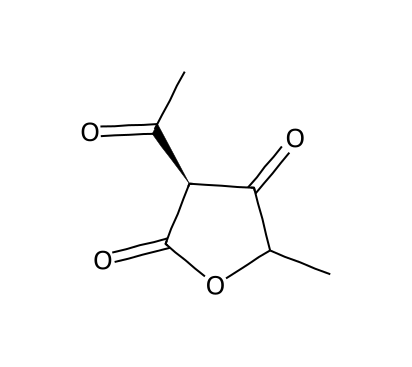 CC(=O)[C@@H]1C(=O)OC(C)C1=O